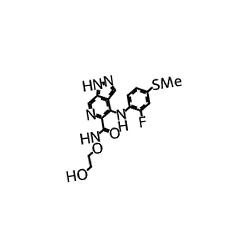 CSc1ccc(Nc2c(C(=O)NOCCO)ncc3[nH]ncc23)c(F)c1